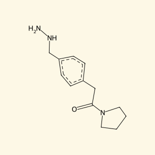 NNCc1ccc(CC(=O)N2CCCC2)cc1